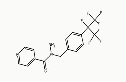 NN(Cc1ccc(C(F)(C(F)(F)F)C(F)(F)F)cc1)C(=O)c1ccncc1